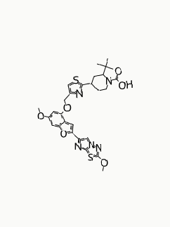 COc1cc(OCc2csc(C3CCN(C(=O)O)C(C(C)(C)C)C3)n2)c2cc(-c3cn4nc(OC)sc4n3)oc2c1